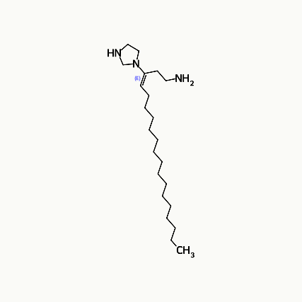 CCCCCCCCCCCCCCC/C=C(\CCN)N1CCNC1